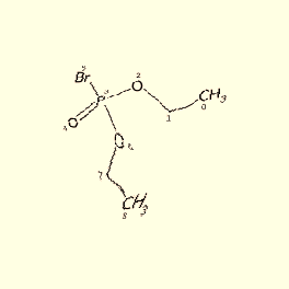 CCOP(=O)(Br)OCC